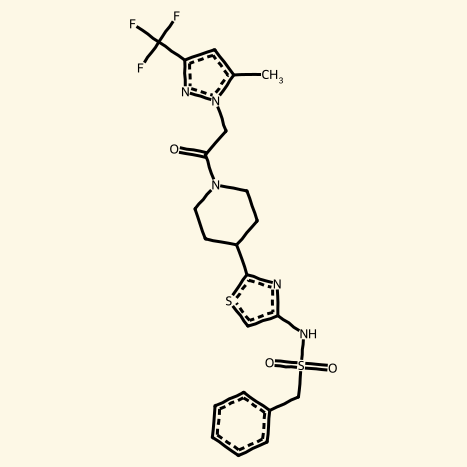 Cc1cc(C(F)(F)F)nn1CC(=O)N1CCC(c2nc(NS(=O)(=O)Cc3ccccc3)cs2)CC1